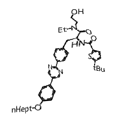 CCCCCCCOc1ccc(-c2cnc(-c3ccc(C[C@H](NC(=O)c4ccc(C(C)(C)C)s4)C(=O)N(CC)CCO)cc3)nc2)cc1